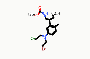 Cc1ccc(N(CCCl)CCBr)cc1C(CNC(=O)OC(C)(C)C)CC(=O)O